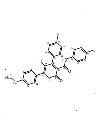 CCCCOc1ccc(-c2[nH]c(=O)c(C(=O)Nc3ccc(C)cc3)c(-c3ccc(C)cc3)c2F)cc1